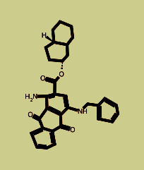 Nc1c(C(=O)O[C@@H]2CC[C@@H]3CCCCC3C2)cc(NCc2ccccc2)c2c1C(=O)c1ccccc1C2=O